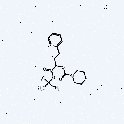 CC(C)(C)OC(=O)N(CCc1ccccc1)OC(=O)N1CCCCC1